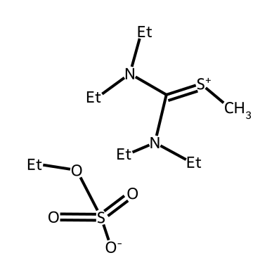 CCN(CC)C(=[S+]C)N(CC)CC.CCOS(=O)(=O)[O-]